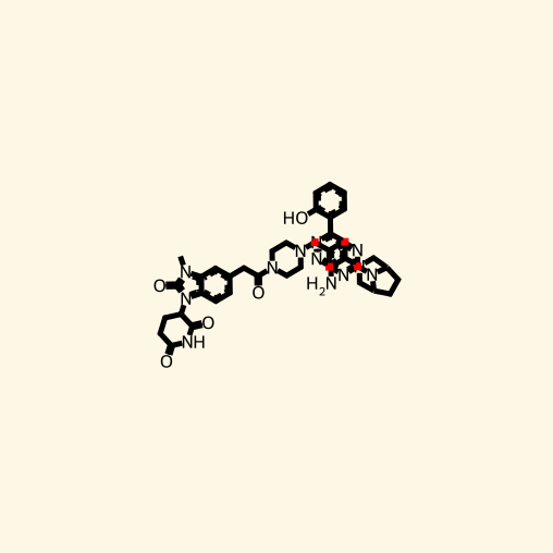 Cn1c(=O)n(C2CCC(=O)NC2=O)c2ccc(CC(=O)N3CCN(Cc4cnc(N5C6CCC5CN(c5cc(-c7ccccc7O)nnc5N)C6)nc4)CC3)cc21